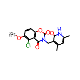 Cc1cc(C)c(Cn2c(=O)oc3ccc(OC(C)C)c(Cl)c3c2=O)c(=O)[nH]1